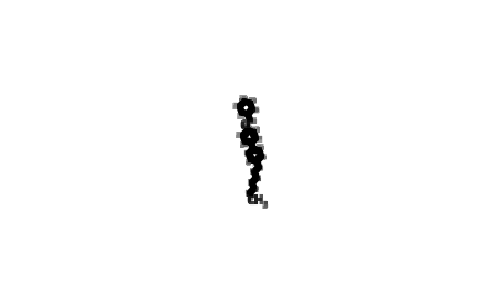 CCCCCCCc1ccc(-c2ccc(OCC3CC[CH]CC3)cc2)cc1